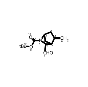 C=C1CC2CC1C(C=O)N2C(=O)OC(C)(C)C